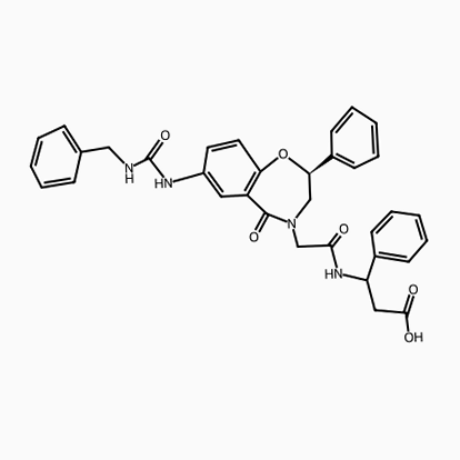 O=C(O)CC(NC(=O)CN1C[C@H](c2ccccc2)Oc2ccc(NC(=O)NCc3ccccc3)cc2C1=O)c1ccccc1